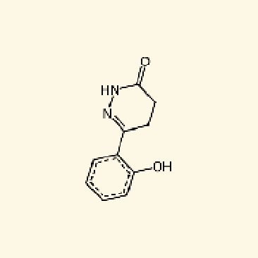 O=C1CCC(c2ccccc2O)=NN1